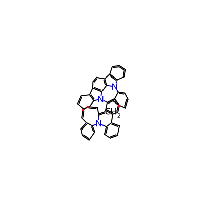 C=C1/C=C\C=C/c2ccccc2N1c1ccccc1-c1cccc(-n2c3c(c4ccc5c6c(n(-c7ccccc7)c5c42)C=C=C=C6)C=CCC3)c1